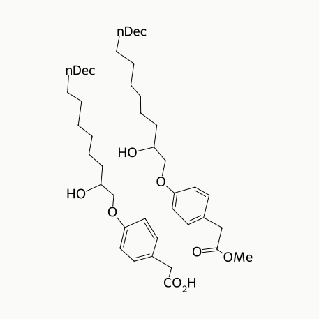 CCCCCCCCCCCCCCCCC(O)COc1ccc(CC(=O)O)cc1.CCCCCCCCCCCCCCCCC(O)COc1ccc(CC(=O)OC)cc1